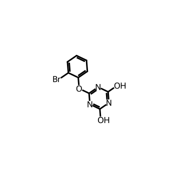 Oc1nc(O)nc(Oc2ccccc2Br)n1